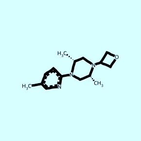 Cc1ccc(N2C[C@@H](C)N(C3COC3)C[C@H]2C)nc1